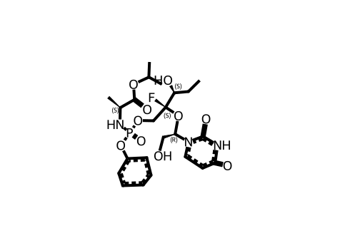 CC[C@H](O)[C@@](F)(COP(=O)(N[C@@H](C)C(=O)OC(C)C)Oc1ccccc1)O[C@H](CO)n1ccc(=O)[nH]c1=O